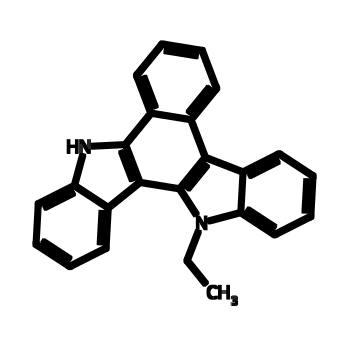 CCn1c2ccccc2c2c3ccccc3c3[nH]c4ccccc4c3c21